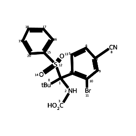 CC(C)(C)C(NC(=O)O)(c1ccc(C#N)cc1Br)S(=O)(=O)c1ccccc1